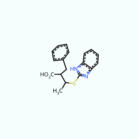 CC(Sc1nc2ccccc2[nH]1)C(Cc1ccccc1)C(=O)O